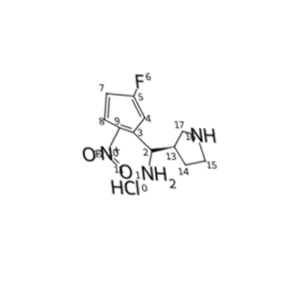 Cl.NC(c1cc(F)ccc1[N+](=O)[O-])[C@@H]1CCNC1